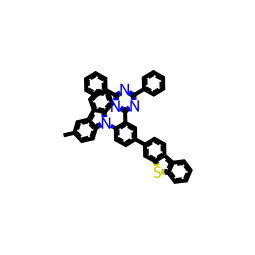 Cc1ccc2c(c1)c1ccccc1n2-c1ccc(-c2ccc3c(c2)sc2ccccc23)cc1-c1nc(-c2ccccc2)nc(-c2ccccc2)n1